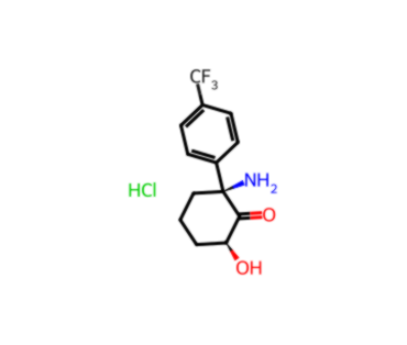 Cl.N[C@]1(c2ccc(C(F)(F)F)cc2)CCC[C@H](O)C1=O